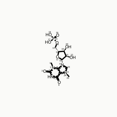 Cn1c(=O)[nH]c(=O)c2c1n([C@@H]1O[C@H](COP(=O)(O)O)[C@@H](O)[C@H]1O)c[n+]2C